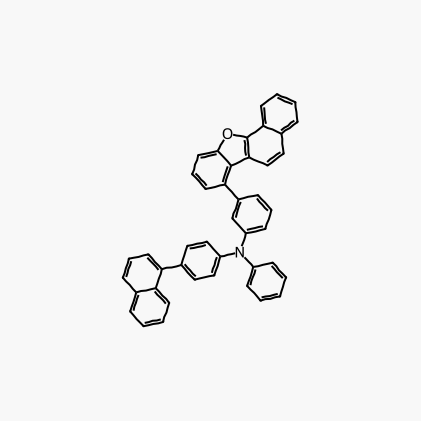 c1ccc(N(c2ccc(-c3cccc4ccccc34)cc2)c2cccc(-c3cccc4oc5c6ccccc6ccc5c34)c2)cc1